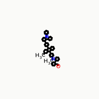 CC1C=c2c(-c3ccc(N(C)c4ccccc4-c4ccccc4C=O)cc3)c3ccccc3c(-c3ccc(-c4cccc5c4c4ccccc4n5-c4ccccc4)cc3)c2=CC1